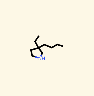 CCCCC1(CC)CCNC1